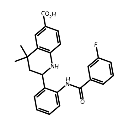 CC1(C)CC(c2ccccc2NC(=O)c2cccc(F)c2)Nc2ccc(C(=O)O)cc21